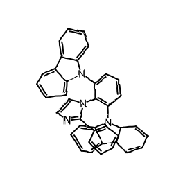 C1=CC2c3ccccc3N(c3cccc(-n4c5ccccc5c5ccccc54)c3-n3ccnc3-c3ccccc3)C2C=C1